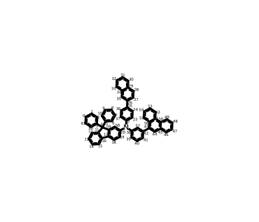 c1ccc(C2(c3ccccc3)c3ccccc3-c3ccc(N(c4ccc(-c5ccc6ccccc6c5)cc4)c4cccc(-c5cc6ccccc6c6ccccc56)c4)cc32)cc1